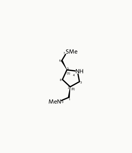 CNC[C@@H]1CN[C@H](CSC)C1